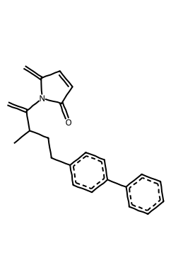 C=C1C=CC(=O)N1C(=C)C(C)CCc1ccc(-c2ccccc2)cc1